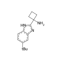 CC(C)(C)c1ccc2[nH]c(C3(N)CCC3)nc2c1